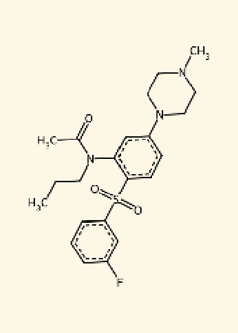 CCCN(C(C)=O)c1cc(N2CCN(C)CC2)ccc1S(=O)(=O)c1cccc(F)c1